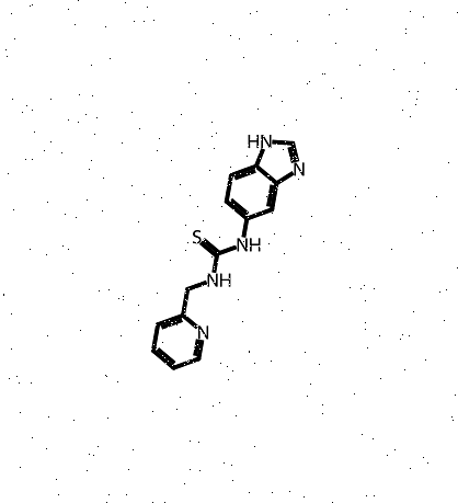 S=C(NCc1ccccn1)Nc1ccc2[nH]cnc2c1